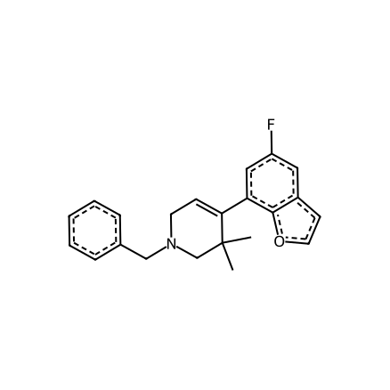 CC1(C)CN(Cc2ccccc2)CC=C1c1cc(F)cc2ccoc12